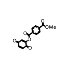 COC(=O)c1ccc(C(=O)OC2=CC(=O)C=CC2=O)cc1